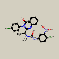 CC(c1nc2ccccc2c(=O)n1-c1ccc(F)cc1)N(C)C(=O)Nc1ccc(Cl)c([N+](=O)[O-])c1